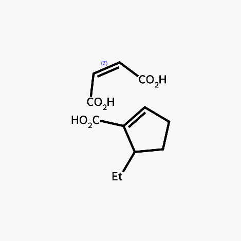 CCC1CCC=C1C(=O)O.O=C(O)/C=C\C(=O)O